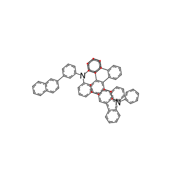 c1ccc(-c2ccccc2-c2c(-c3ccccc3)cccc2-c2ccccc2N(c2cccc(-c3ccc4ccccc4c3)c2)c2cccc(-c3ccc4c(c3)c3ccccc3n4-c3ccccc3)c2)cc1